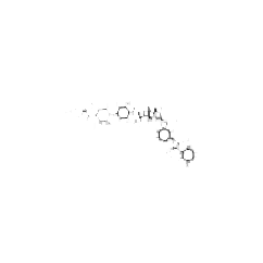 O=C(O)C[C@H]1CC[C@H](c2ccc(NC(=O)c3nnc(Nc4cccc(NC(=O)c5ccccc5)c4)o3)cc2)CC1